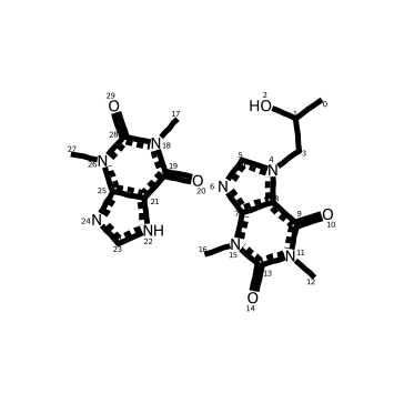 CC(O)Cn1cnc2c1c(=O)n(C)c(=O)n2C.Cn1c(=O)c2[nH]cnc2n(C)c1=O